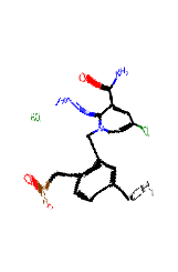 Cc1ccc(C[SH](=O)=O)c(Cn2cc(Cl)cc(C(N)=O)c2=N)c1.Cl